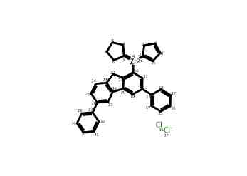 C1=CC[C]([Zr+2](=[C]2CCCC2)[c]2cc(-c3ccccc3)cc3c2Cc2ccc(-c4ccccc4)cc2-3)=C1.[Cl-].[Cl-]